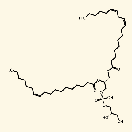 CCCCC/C=C\C/C=C\CCCCCCCC(=O)OC[C@H](COP(=O)(O)OC[C@@H](O)CO)OC(=O)CCCCCCCCC/C=C\CCCCCC